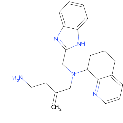 C=C(CCN)CN(Cc1nc2ccccc2[nH]1)C1CCCc2cccnc21